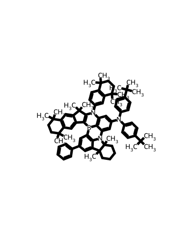 CC(C)(C)c1ccc(N(c2ccc(C(C)(C)C)cc2)c2cc3c4c(c2)N2c5c(cc(-c6ccccc6)cc5C5(C)CCCCC25C)B4C2=C(N3c3ccc4c(c3)C(C)(C)CCC4(C)C)C(C)(C)c3cc4c(cc32)C(C)(C)CCC4(C)C)cc1